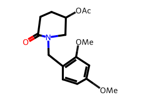 COc1ccc(CN2CC(OC(C)=O)CCC2=O)c(OC)c1